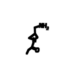 CCC(=O)N1CC(CN)C1